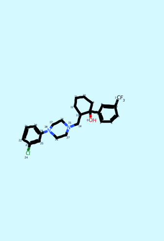 OC1(c2cccc(C(F)(F)F)c2)CCCCC1CN1CCN(c2cccc(Cl)c2)CC1